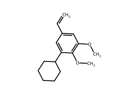 C=Cc1cc(OC)c(OC)c(C2CCCCC2)c1